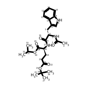 CC(=O)N[C@@H](Cc1c[nH]c2ccccc12)C(=O)N[C@@H](CCC(=O)OC(C)(C)C)C(=O)OC(C)C